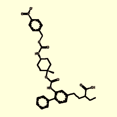 CCC(CCc1ccc(-c2ccccc2)c(NC(=O)O[C@]2(C)CC[C@@H](NC(=O)OCc3ccc([N+](=O)[O-])cc3)CC2)c1)C(=O)O